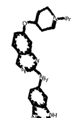 CC(C)N1CCC(Oc2ccc3cnc(Nc4ccc5nn[nH]c5c4)nc3c2)CC1